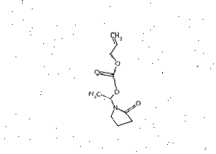 C=CCOC(=O)OC(C)N1CCCC1=O